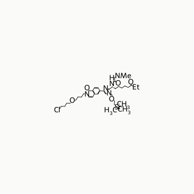 CCC(=O)CCCCC[C@H](NC(=O)CNC)c1nc(-c2ccc3c(=O)n(CCCCOCCCCCl)ccc3c2)cn1COCC[Si](C)(C)C